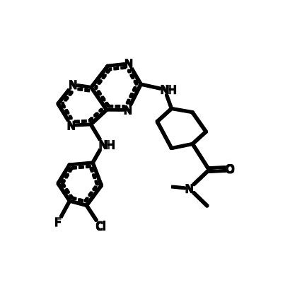 CN(C)C(=O)C1CCC(Nc2ncc3ncnc(Nc4ccc(F)c(Cl)c4)c3n2)CC1